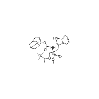 COC(=O)[C@@](COC(C)[Si](C)(C)C)(Cc1c[nH]c2ccccc12)NC(=O)OC1C2CC3CC(C2)CC1C3